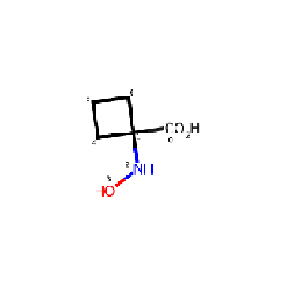 O=C(O)C1(NO)CCC1